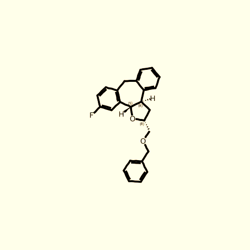 Fc1ccc2c(c1)[C@H]1O[C@@H](COCc3ccccc3)C[C@@H]1c1ccccc1C2